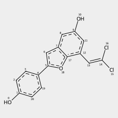 Oc1ccc(-c2cc3cc(O)cc(C=C(Cl)Cl)c3o2)cc1